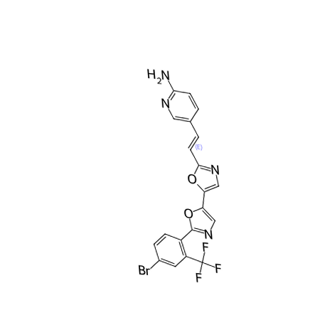 Nc1ccc(/C=C/c2ncc(-c3cnc(-c4ccc(Br)cc4C(F)(F)F)o3)o2)cn1